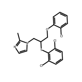 Cc1nccn1CC(COc1ccccc1Cl)Sc1c(Cl)cccc1Cl